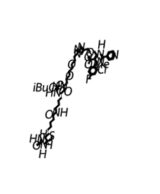 COC(=O)C1=C(COCc2cn(CCOCCOCCNC(=O)[C@H](CCCCNC(=O)CCCC[C@@H]3SC[C@@H]4NC(=O)N[C@@H]43)NC(=O)OCC(C)C)nn2)NC(c2ccncc2)=NC1c1ccc(F)cc1Cl